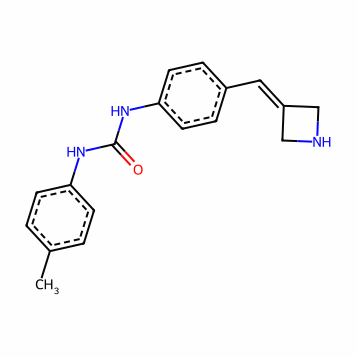 Cc1ccc(NC(=O)Nc2ccc(C=C3CNC3)cc2)cc1